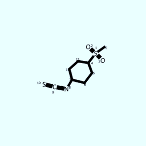 CS(=O)(=O)C1CCC(N=C=S)CC1